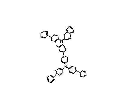 c1ccc(-c2ccc(N(c3ccc(-c4ccccc4)cc3)c3ccc(-c4ccc5c(c4)Cc4cc(-c6ccccc6)ccc4N5c4ccc5ccccc5c4)cc3)cc2)cc1